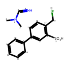 CN(C)C=N.O=S(=O)(O)c1cc(-c2ccccc2)ccc1CBr